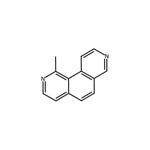 Cc1nccc2ccc3cnccc3c12